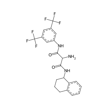 NC(C(=O)Nc1cc(C(F)(F)F)cc(C(F)(F)F)c1)C(=O)NC1CCCc2ccccc21